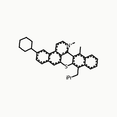 Cc1c2c(c(CC(C)C)c3ccccc13)Sc1cc3ccc(C4CCCCC4)cc3c3cc[n+](C)c-2c13